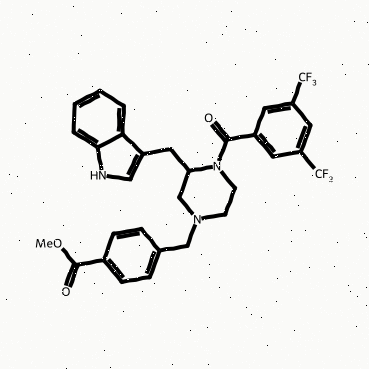 COC(=O)c1ccc(CN2CCN(C(=O)c3cc(C(F)(F)F)cc(C(F)(F)F)c3)C(Cc3c[nH]c4ccccc34)C2)cc1